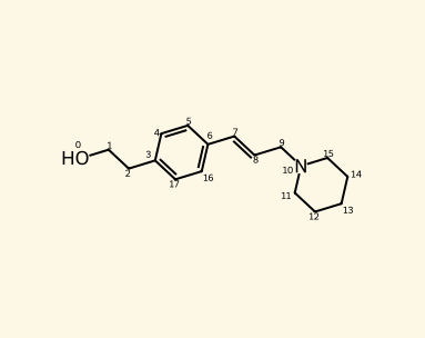 OCCc1ccc(C=CCN2CCCCC2)cc1